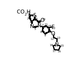 O=C(O)c1cc2ncn(-c3ccc(OCCN4CCCC4)c(F)c3)c(=O)c2s1